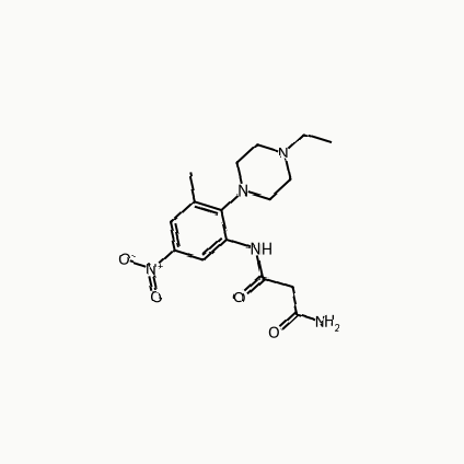 CCN1CCN(c2c(C)cc([N+](=O)[O-])cc2NC(=O)CC(N)=O)CC1